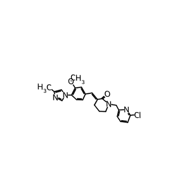 COc1cc(C=C2CCCN(Cc3cccc(Cl)n3)C2=O)ccc1-n1cnc(C)c1